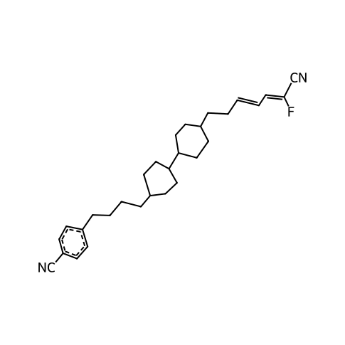 N#CC(F)=CC=CCCC1CCC(C2CCC(CCCCc3ccc(C#N)cc3)CC2)CC1